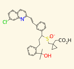 CC(C)(O)c1ccccc1CCC(c1cccc(C=Cc2ccc3ccc(Cl)cc3n2)c1)[S+]([O-])CC1(CC(=O)O)CC1